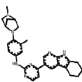 Cc1cc(Nc2nccc(-c3cnc4[nH]c5c(c4c3)CCCC5)n2)ccc1N1CC2CC1CN2C